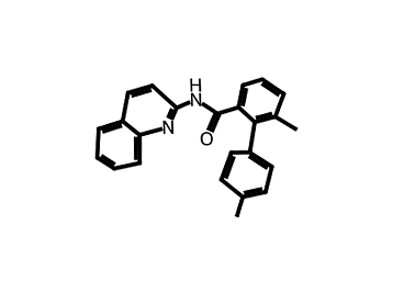 Cc1ccc(-c2c(C)cccc2C(=O)Nc2ccc3ccccc3n2)cc1